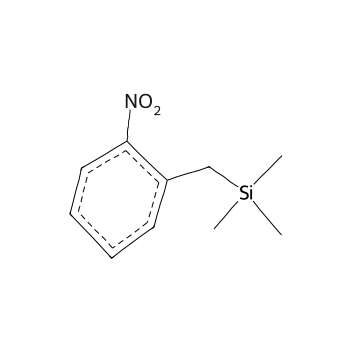 C[Si](C)(C)Cc1ccccc1[N+](=O)[O-]